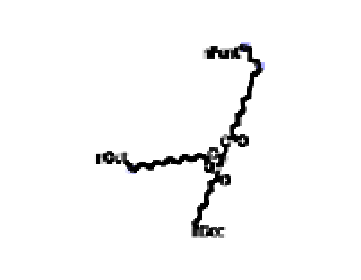 CCCCC/C=C\C/C=C\CCCCCCCCCC(=O)OC[C@@H](COC(=O)CCCCCCCCCCCCCCCCC)OC(=O)CCCCCCCCC/C=C\CCCCCCCC